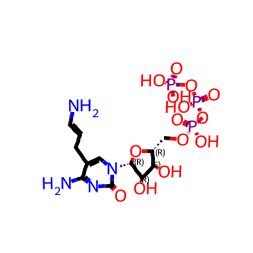 NC=CCc1cn([C@@H]2O[C@H](COP(=O)(O)OP(=O)(O)OP(=O)(O)O)[C@@H](O)[C@H]2O)c(=O)nc1N